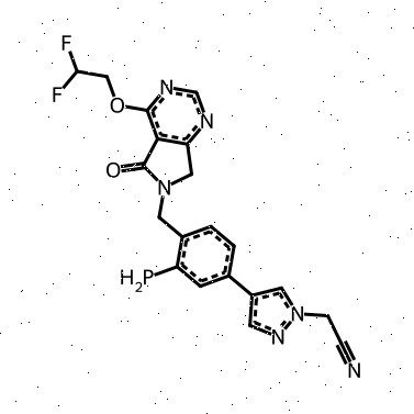 N#CCn1cc(-c2ccc(CN3Cc4ncnc(OCC(F)F)c4C3=O)c(P)c2)cn1